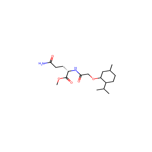 COC(=O)[C@H](CCC(N)=O)NC(=O)COC1CC(C)CCC1C(C)C